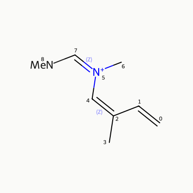 C=C/C(C)=C\[N+](C)=C/NC